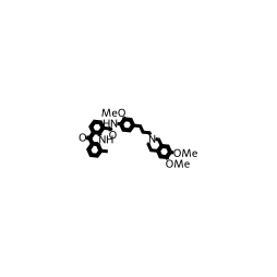 COc1cc(CCCN2CCc3cc(OC)c(OC)cc3C2)ccc1NC(=O)c1cccc2c(=O)c3cccc(C)c3[nH]c12